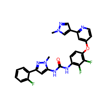 Cn1cc(-c2cc(Oc3ccc(NC(=O)Nc4cc(-c5ccccc5F)nn4C)c(F)c3F)ccn2)cn1